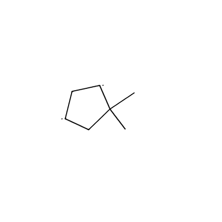 CC1(C)[CH]C[CH]C1